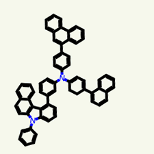 C1=C(c2cccc3ccccc23)CCC(N(c2ccc(-c3cc4ccccc4c4ccccc34)cc2)c2cccc(-c3cccc4c3c3c5ccccc5ccc3n4-c3ccccc3)c2)=C1